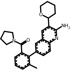 Cc1cccc(C(=O)N2CCCC2)c1-c1ccc2nc(N)c(C3CCCCO3)cc2c1